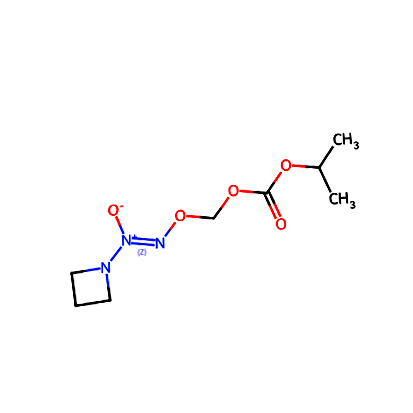 CC(C)OC(=O)OCO/N=[N+](\[O-])N1CCC1